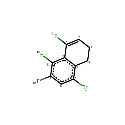 FC1=CCCc2c(Br)cc(F)c(F)c21